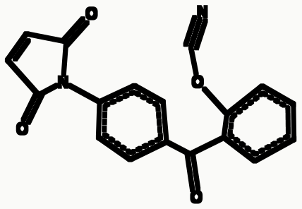 N#COc1ccccc1C(=O)c1ccc(N2C(=O)C=CC2=O)cc1